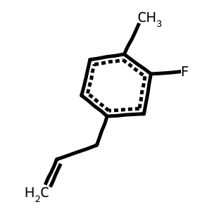 C=CCc1ccc(C)c(F)c1